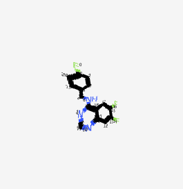 Fc1ccc(CNc2ncnc3cc(F)c(F)cc23)cc1